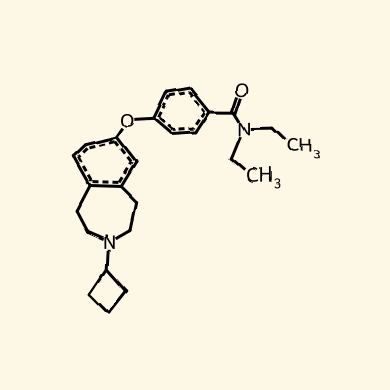 CCN(CC)C(=O)c1ccc(Oc2ccc3c(c2)CCN(C2CCC2)CC3)cc1